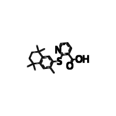 Cc1cc2c(cc1Sc1ncccc1C(=O)O)C(C)(C)CCC2(C)C